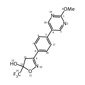 COc1ncc(-c2ccc(C3=NOC(O)(C(F)(F)F)C3)cc2)cn1